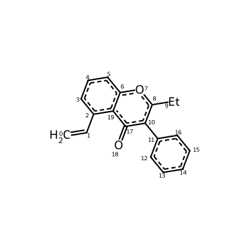 C=Cc1cccc2oc(CC)c(-c3ccccc3)c(=O)c12